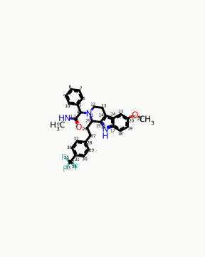 CNC(=O)C(c1ccccc1)N1CCc2c([nH]c3ccc(OC)cc23)C1CCc1ccc(C(F)(F)F)cc1